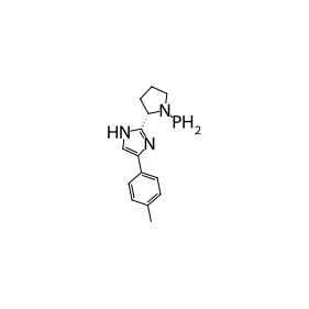 Cc1ccc(-c2c[nH]c([C@@H]3CCCN3P)n2)cc1